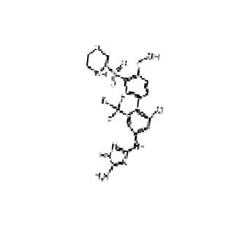 Nc1nc(Nc2cc(Cl)c(-c3ccc(CO)c(S(=O)(=O)C4COCCN4)c3)c(C(F)(F)F)c2)n[nH]1